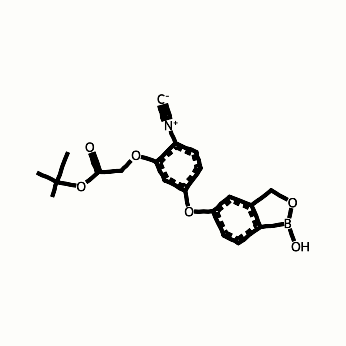 [C-]#[N+]c1ccc(Oc2ccc3c(c2)COB3O)cc1OCC(=O)OC(C)(C)C